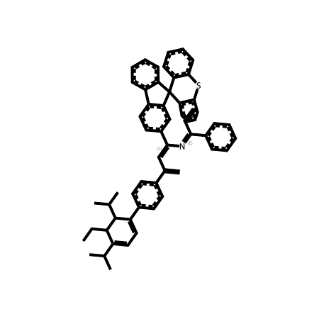 C=C/C(=N\C(=C/C(=C)c1ccc(C2=CC=C(C(C)C)C(CC)C2C(C)C)cc1)c1ccc2c(c1)C1(c3ccccc3Sc3ccccc31)c1ccccc1-2)c1ccccc1